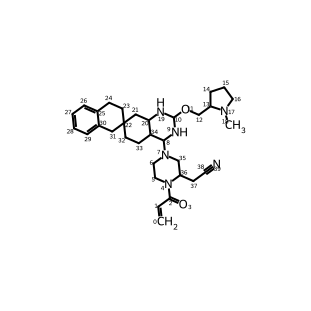 C=CC(=O)N1CCN(C2NC(OCC3CCCN3C)NC3CC4(CCc5ccccc5C4)CCC32)CC1CC#N